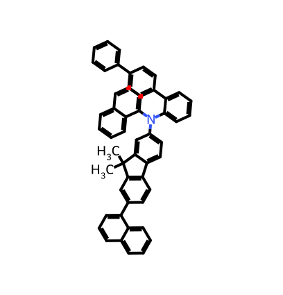 CC1(C)c2cc(-c3cccc4ccccc34)ccc2-c2ccc(N(c3ccccc3-c3ccc(-c4ccccc4)cc3)c3cccc4ccccc34)cc21